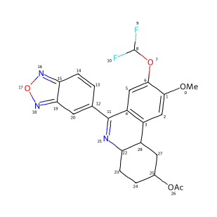 COc1cc2c(cc1OC(F)F)C(c1ccc3nonc3c1)=NC1CCC(OC(C)=O)CC21